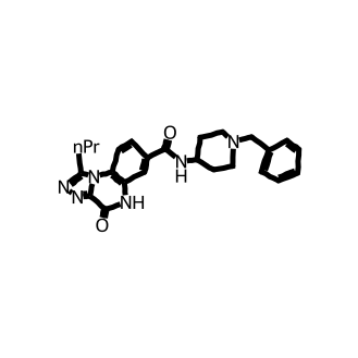 CCCc1nnc2c(=O)[nH]c3cc(C(=O)NC4CCN(Cc5ccccc5)CC4)ccc3n12